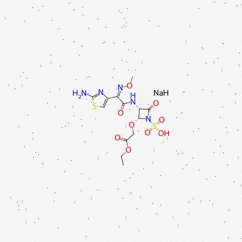 CCOC(=O)CO[C@@H]1[C@H](NC(=O)C(=NOC)c2csc(N)n2)C(=O)N1S(=O)(=O)O.[NaH]